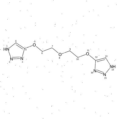 c1[nH]nnc1OCCOCCOc1c[nH]nn1